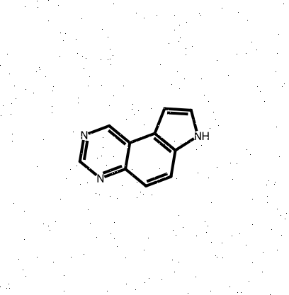 c1ncc2c(ccc3[nH]ccc32)n1